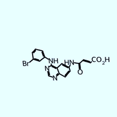 O=C(O)/C=C/C(=O)Nc1ccc2ncnc(Nc3cccc(Br)c3)c2c1